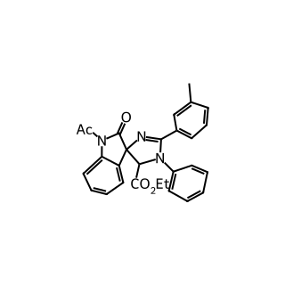 CCOC(=O)C1N(c2ccccc2)C(c2cccc(C)c2)=NC12C(=O)N(C(C)=O)c1ccccc12